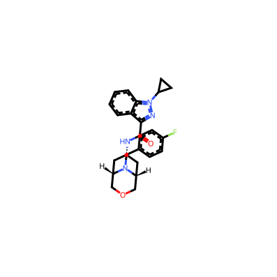 O=C(N[C@H]1C[C@H]2COC[C@@H](C1)N2Cc1ccc(F)cc1)c1nn(C2CC2)c2ccccc12